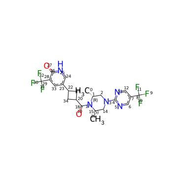 C[C@@H]1CN(c2ncc(C(F)(F)F)cn2)C[C@H](C)N1C(=O)C1CC(c2c[nH]c(=O)c(C(F)(F)F)c2)C1